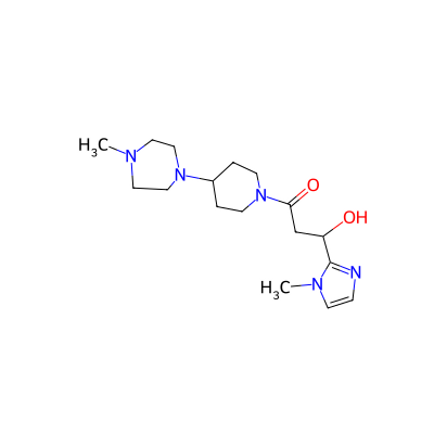 CN1CCN(C2CCN(C(=O)CC(O)c3nccn3C)CC2)CC1